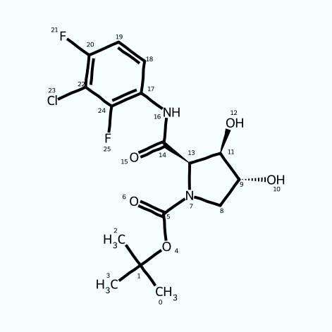 CC(C)(C)OC(=O)N1C[C@@H](O)[C@H](O)[C@@H]1C(=O)Nc1ccc(F)c(Cl)c1F